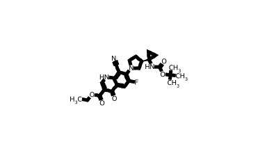 CCOC(=O)c1c[nH]c2c(C#N)c(N3CC[C@@H](C4(NC(=O)OC(C)(C)C)CC4)C3)c(F)cc2c1=O